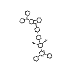 N#Cc1cc(-c2cc(-c3ccccc3)nc(-c3ccccc3)n2)cc(C#N)c1-c1ccc(-c2ccc(-n3c4ccccc4c4cc(N(c5ccccc5)c5ccccc5)ccc43)cc2)cc1